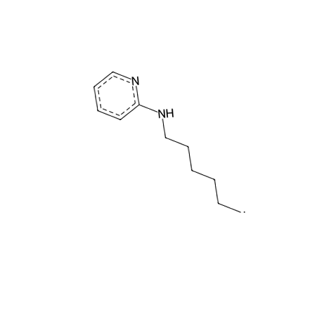 [CH2]CCCCCNc1ccccn1